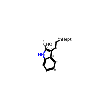 CCCCCCCCCc1c(C=O)[nH]c2ccccc12